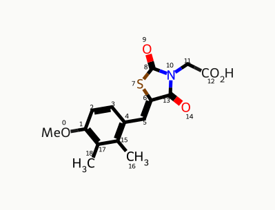 COc1ccc(/C=C2\SC(=O)N(CC(=O)O)C2=O)c(C)c1C